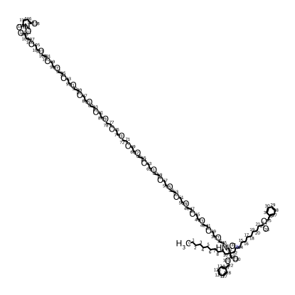 CCCCCCCCCCCC(C/C=C/CCCCCCCC(=O)OCc1ccccc1)(C(=O)NCCOCCOCCOCCOCCOCCOCCOCCOCCOCCOCCOCCOCCOCCOCCOCCOCCOCCOCCOCCOCCOCCOCCOCCOCCC(=O)ON1C(=O)CCC1=O)C(=O)OCc1ccccc1